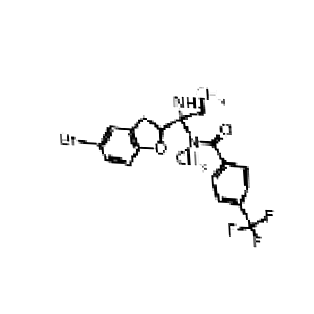 CCC(N)(C1Cc2cc(Br)ccc2O1)N(C)C(=O)c1ccc(C(F)(F)F)cc1